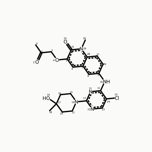 CC(=O)COc1cc2cc(Nc3nc(N4CCC(C)(O)CC4)ncc3Cl)ccc2n(C)c1=O